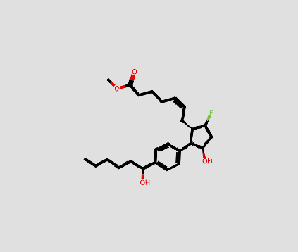 CCCCCC(O)c1ccc(C2[C@@H](C/C=C\CCCC(=O)OC)C(F)C[C@H]2O)cc1